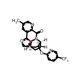 Cc1cnc(C(=O)N2C[C@@H]3CC[C@H]2[C@H](Oc2ccc(C(F)(F)F)cn2)C3)c(-c2ncco2)c1